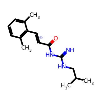 Cc1cccc(C)c1/C=C/C(=O)NC(=N)NCC(C)C